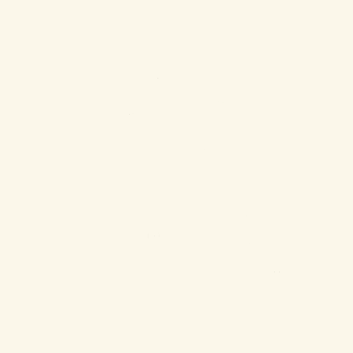 COc1ccc(C)cc1Cc1cc(C)cc(Cc2cc(COc3ccc(Cl)cc3Cc3cc(Cl)cc(Cc4cc(Cl)ccc4OC)c3OC)ccc2O)c1OC